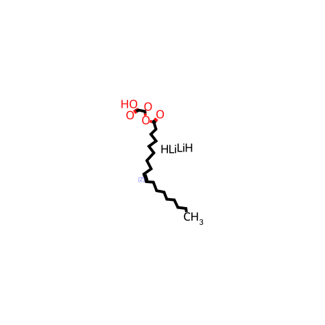 CCCCCCCC/C=C\CCCCCCCC(=O)OC(=O)C(=O)O.[LiH].[LiH]